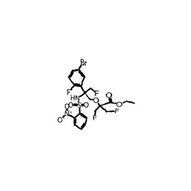 CCOC(=O)C(CF)(CF)OC[C@@](CF)(NS(=O)(=O)c1ccccc1[N+](=O)[O-])c1cc(Br)ccc1F